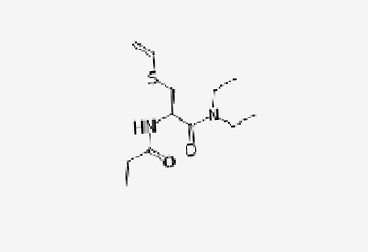 C=CSC[C@H](NC(=O)CC)C(=O)N(CC)CC